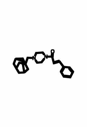 O=C(C=Cc1ccccc1)N1CCN(CC23CC4CC(CC(C4)C2)C3)CC1